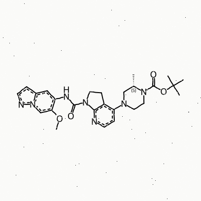 COc1cn2nccc2cc1NC(=O)N1CCc2c(N3CCN(C(=O)OC(C)(C)C)[C@@H](C)C3)ccnc21